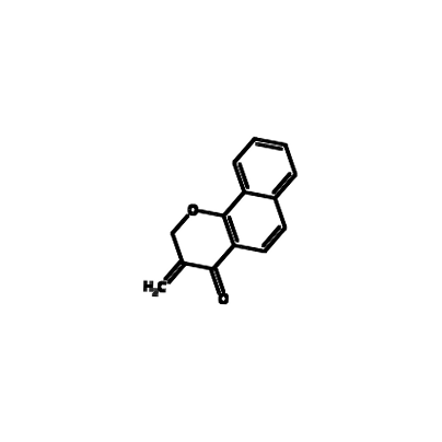 C=C1COc2c(ccc3ccccc23)C1=O